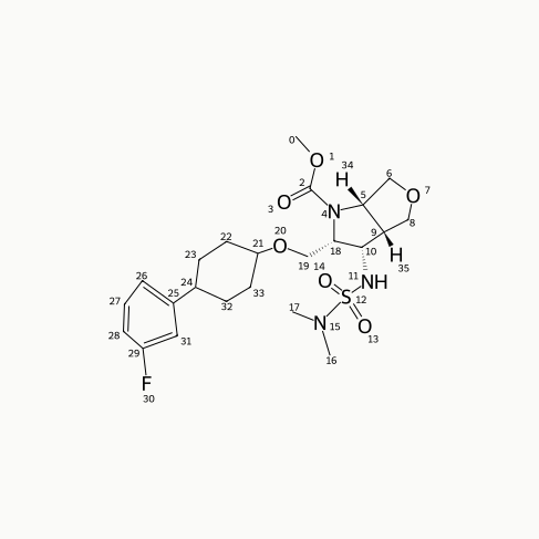 COC(=O)N1[C@@H]2COC[C@@H]2[C@H](NS(=O)(=O)N(C)C)[C@@H]1COC1CCC(c2cccc(F)c2)CC1